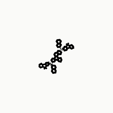 CC1(C)c2ccccc2-c2ccc(N(c3ccc4ccccc4c3)c3ccc4c(ccc5c6ccc(N(c7ccc8c(c7)C(C)(C)C7C=CC=CC87)c7ccc8ccccc8c7)cc6c6ccccc6c45)c3)cc21